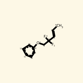 C/C=C/C(F)(F)COc1ccccc1